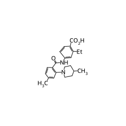 CCc1cc(NC(=O)c2ccc(C)cc2N2CCC(C)CC2)ccc1C(=O)O